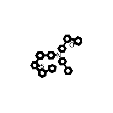 c1ccc(-c2ccc(N(c3ccc(-c4cccc(-c5cccc6c5sc5c(-c7ccccc7)cccc56)c4)cc3)c3ccc(-c4cccc5c4oc4ccccc45)cc3)cc2)cc1